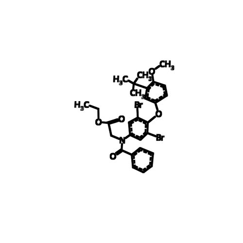 CCOC(=O)CN(C(=O)c1ccccc1)c1cc(Br)c(Oc2ccc(OC)c(C(C)(C)C)c2)c(Br)c1